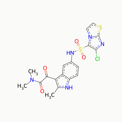 Cc1[nH]c2ccc(NS(=O)(=O)c3c(Cl)nc4sccn34)cc2c1C(=O)C(=O)N(C)C